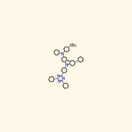 CC(C)(C)c1ccc(N(c2ccccc2)c2ccc3c(c2)c2cc(-c4ccccc4)ccc2n3-c2ccc(-c3nc(-c4ccccc4)nc(-c4ccccc4)n3)cc2)cc1